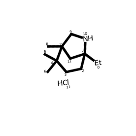 CCC12CCC(C)(C)C(C)(CN1)C2.Cl